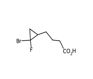 O=C(O)CCCC1CC1(F)Br